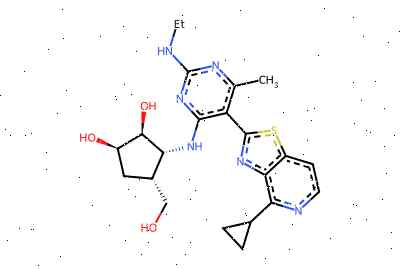 CCNc1nc(C)c(-c2nc3c(C4CC4)nccc3s2)c(N[C@@H]2[C@H](CO)C[C@@H](O)[C@H]2O)n1